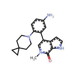 Cn1cc(-c2cc(N)ccc2N2CCC3(CC2)CC3)c2cc[nH]c2c1=O